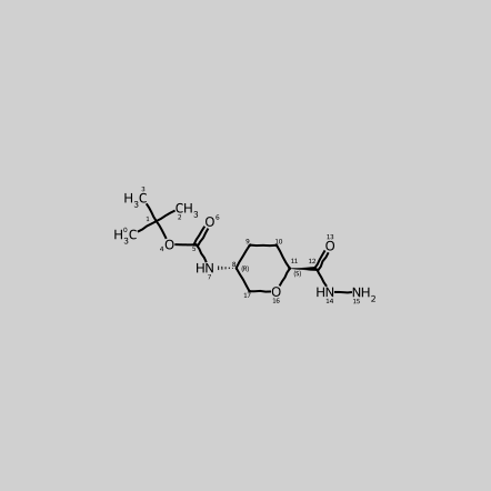 CC(C)(C)OC(=O)N[C@@H]1CC[C@@H](C(=O)NN)OC1